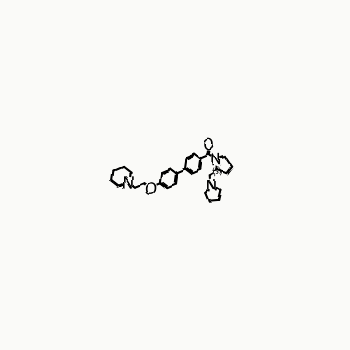 O=C(c1ccc(-c2ccc(OCCN3CCCCC3)cc2)cc1)N1CCC[C@H]1CN1CCCC1